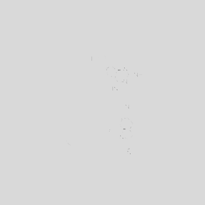 CNc1nc(NC2CCN(Cc3ccc4c(cc(C#N)n4C[C@H](C)C4CCC(CCC=O)CC4)c3C)CC2)c2cc(CC(F)(F)F)sc2n1